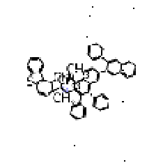 CCc1c(/C=C(\C)C2(C)C=Cc3sc4ccccc4c3C2C)c(-c2ccccc2)c(-c2ccccc2)c2cc(-c3cc4ccccc4cc3C3=CC=CCC3)ccc12